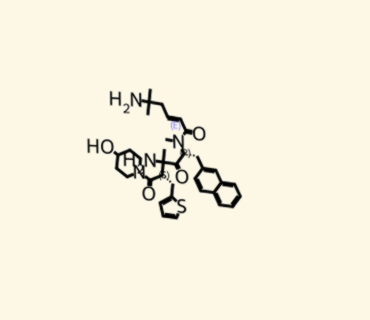 CN(C(=O)/C=C/CC(C)(C)N)[C@H](Cc1ccc2ccccc2c1)C(=O)C(C)(N)[C@H](Cc1cccs1)C(=O)N1CCC(O)CC1